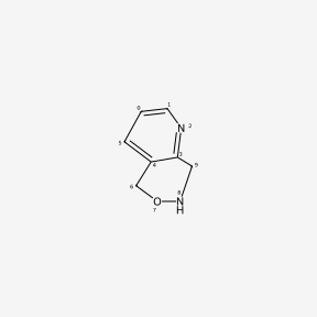 c1cnc2c(c1)CONC2